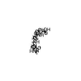 Cc1nc(=O)c2nc(CNc3ccc(C(=O)N[C@@H](CCC(=O)O)C(=O)O)s3)cnc2[nH]1